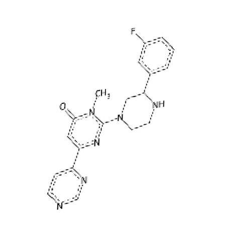 Cn1c(N2CCNC(c3cccc(F)c3)C2)nc(-c2ccncn2)cc1=O